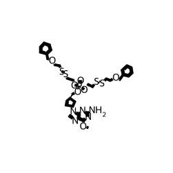 COc1nc(N)nc2c1ncn2[C@H]1C=C[C@@H](COP(=O)(OCCSSCCOCc2ccccc2)OCCSSCCOCc2ccccc2)C1